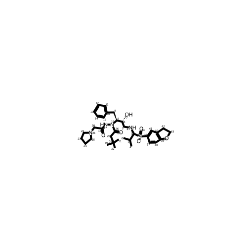 CC(C)C(NC[C@@H](O)[C@H](Cc1ccccc1)N(NC(=O)CN1CCCC1)C(=O)CC(C)(C)C)S(=O)(=O)c1ccc2c(c1)CCO2